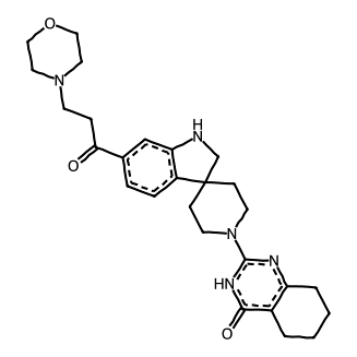 O=C(CCN1CCOCC1)c1ccc2c(c1)NCC21CCN(c2nc3c(c(=O)[nH]2)CCCC3)CC1